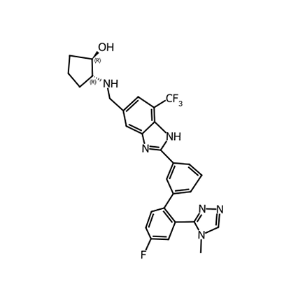 Cn1cnnc1-c1cc(F)ccc1-c1cccc(-c2nc3cc(CN[C@@H]4CCC[C@H]4O)cc(C(F)(F)F)c3[nH]2)c1